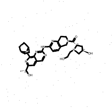 C[C@@H](O)c1cc2cnc(Nc3ccc4c(n3)CCN(C(=O)[C@@H]3C[C@@H](O)CN3CCO)C4)nc2c(N2C3CCC2CC3)n1